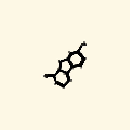 CC(C)(C)c1ccc2c(c1)C=C1C(=O)C=CC=C12